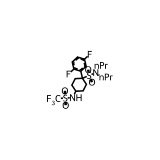 CCCN(CCC)S(=O)(=O)C1(c2cc(F)ccc2F)CCC(NS(=O)(=O)C(F)(F)F)CC1